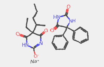 CCCC(C)C1(CC)C(=O)N=C([O-])NC1=O.O=C1NC(=O)C(c2ccccc2)(c2ccccc2)N1.[Na+]